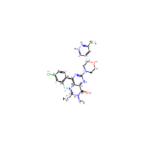 Cc1cc([C@H]2CN(c3nc(-c4ccc(Cl)cc4F)c4nc(C)n(C)c(=O)c4n3)CCO2)cnn1